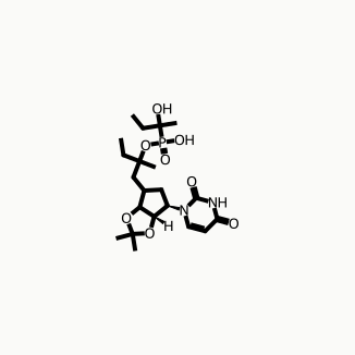 CCC(C)(CC1C[C@@H](n2ccc(=O)[nH]c2=O)[C@@H]2OC(C)(C)OC12)OP(=O)(O)C(C)(O)CC